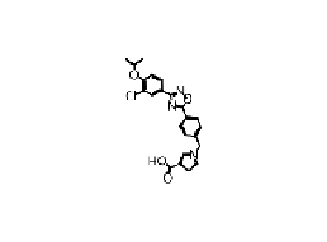 CC(C)Oc1ccc(-c2noc(-c3ccc(CN4CC[C@@H](C(=O)O)C4)cc3)n2)cc1Cl